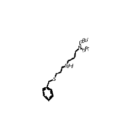 CCCCN(CCC)CCCNCCCSCc1ccccc1